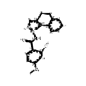 COc1ccc(C(=O)Nn2ncc3c2-c2ccccc2CC3)c(Cl)c1